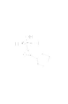 O[Si](O)(O)C1OC1C1CCCCC1